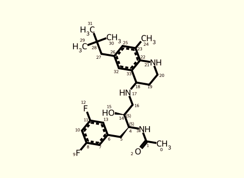 CC(=O)N[C@@H](Cc1cc(F)cc(F)c1)[C@@H](O)CNC1CCNc2c(C)cc(CC(C)(C)C)cc21